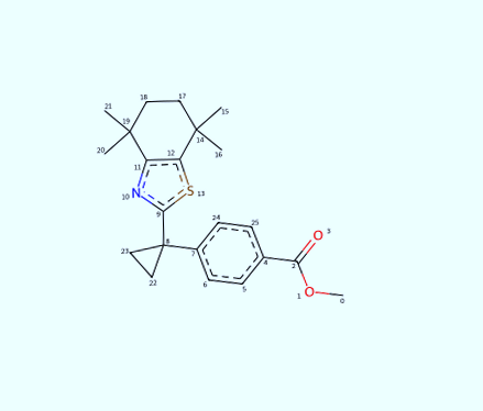 COC(=O)c1ccc(C2(c3nc4c(s3)C(C)(C)CCC4(C)C)CC2)cc1